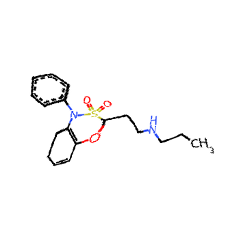 CCCNCCC1OC2=C(CCC=C2)N(c2ccccc2)S1(=O)=O